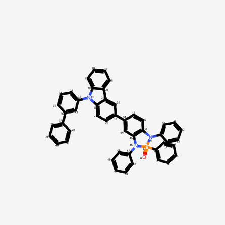 O=P1(c2ccccc2)N(c2ccccc2)c2ccc(-c3ccc4c(c3)c3ccccc3n4-c3cccc(-c4ccccc4)c3)cc2N1c1ccccc1